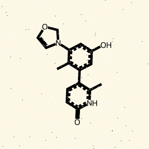 Cc1[nH]c(=O)ccc1-c1cc(O)cc(N2C=COC2)c1C